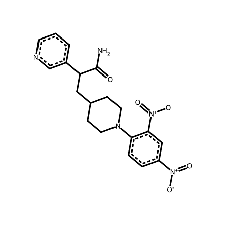 NC(=O)C(CC1CCN(c2ccc([N+](=O)[O-])cc2[N+](=O)[O-])CC1)c1cccnc1